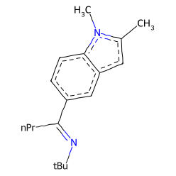 CCCC(=NC(C)(C)C)c1ccc2c(c1)cc(C)n2C